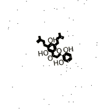 C=C(C)CCc1c(O)c(CCC(=C)C)c2c(c1O)C(=O)C[C@@H](c1c(O)cccc1O)O2